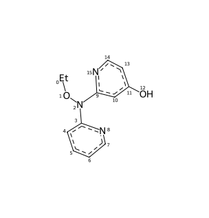 CCON(c1ccccn1)c1cc(O)ccn1